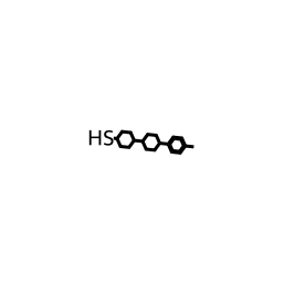 Cc1ccc(C2CCC(C3CCC(S)CC3)CC2)cc1